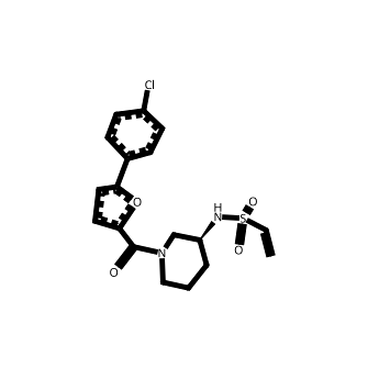 C=CS(=O)(=O)N[C@H]1CCCN(C(=O)c2ccc(-c3ccc(Cl)cc3)o2)C1